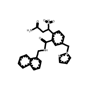 NC(=O)CC(c1ccc(Cn2cccn2)cc1C(=O)NCc1cccc2ccccc12)[SH](=O)=O